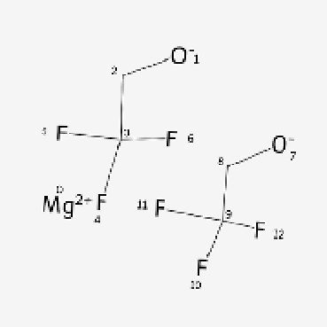 [Mg+2].[O-]CC(F)(F)F.[O-]CC(F)(F)F